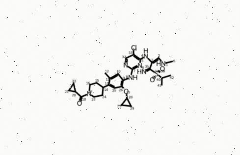 CN/C=C(/Nc1nc(Nc2cc(C)c(C3CCN(C(=O)C4CC4)CC3)cc2OC2CC2)ncc1Cl)C(=N)S(=O)(=O)C(C)C